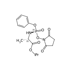 CC(C)OC(=O)[C@H](C)N[P@](=O)(Oc1ccccc1)ON1C(=O)CCC1=O